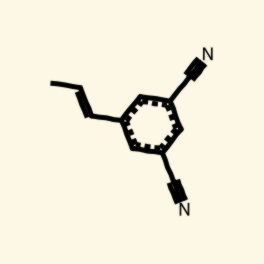 C/C=C/c1cc(C#N)cc(C#N)c1